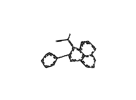 CC(C)=c1c(-c2ccccc2)cc2cccc3cccc1c32